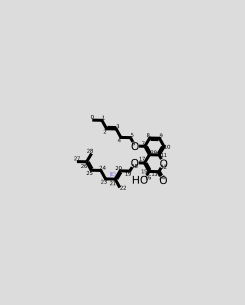 CCC=CCCOc1cccc2oc(=O)c(O)c(OC/C=C(\C)CCC=C(C)C)c12